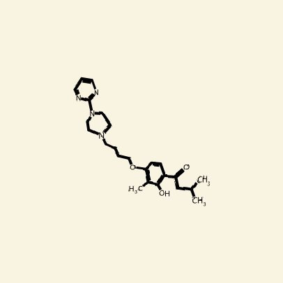 Cc1c(OCCCCN2CCN(c3ncccn3)CC2)ccc(C(=O)CC(C)C)c1O